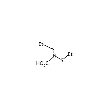 CCSN(SCC)C(=O)O